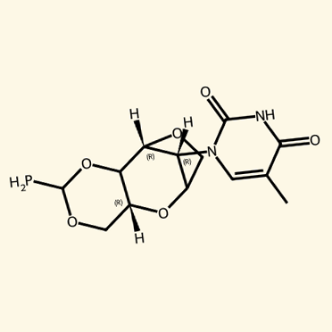 Cc1cn([C@@H]2C3CO[C@H]2C2OC(P)OC[C@H]2O3)c(=O)[nH]c1=O